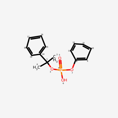 CC(C)(OP(=O)(O)Oc1ccccc1)c1ccccc1